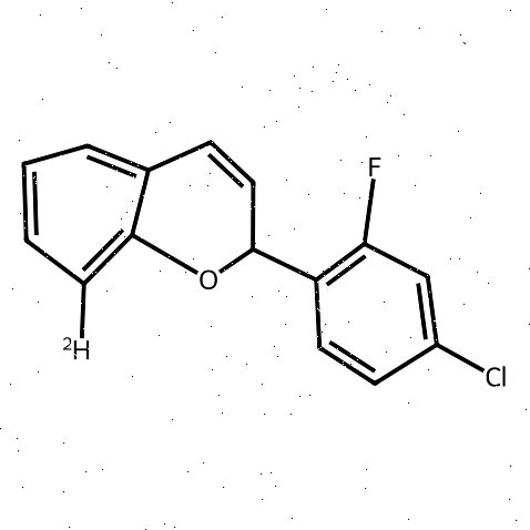 [2H]c1cccc2c1OC(c1ccc(Cl)cc1F)C=C2